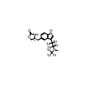 [2H]C([2H])([2H])N(C)C([2H])([2H])C([2H])([2H])c1c[nH]c2ccc(C[C@H]3COC(=O)N3)cc12